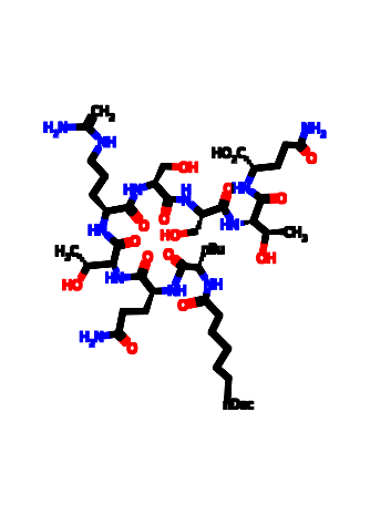 C=C(N)NCCC[C@H](NC(=O)[C@@H](NC(=O)[C@H](CCC(N)=O)NC(=O)[C@H](CCCC)NC(=O)CCCCCCCCCCCCCCC)[C@@H](C)O)C(=O)N[C@@H](CO)C(=O)N[C@@H](CO)C(=O)N[C@H](C(=O)N[C@@H](CCC(N)=O)C(=O)O)[C@@H](C)O